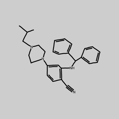 CC(C)CN1CCN(c2ccc(C#N)c(NC(c3ccccc3)c3ccccc3)c2)CC1